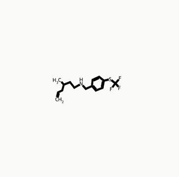 C=CCC(C)CCNCc1ccc(SC(F)(F)F)cc1